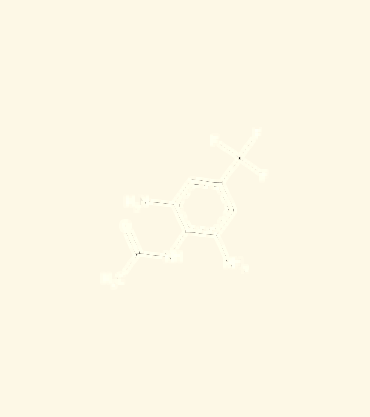 CC(=O)Nc1c(N)cc(C(F)(F)F)cc1N